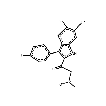 C[S+]([O-])CC(=O)c1[nH]c2cc(Br)c(Cl)cc2c1-c1ccc(F)cc1